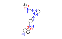 CN(C)c1cccc2c(S(=O)(=O)NCC3CCC(CNc4nc(NCCNC(=O)OC(C)(C)C)c5ccccc5n4)CC3)cccc12